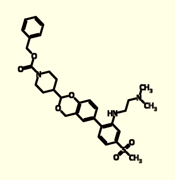 CN(C)CCNc1cc(S(C)(=O)=O)ccc1-c1ccc2c(c1)COC(C1CCN(C(=O)OCc3ccccc3)CC1)O2